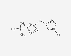 CC(C)(C)c1nnc(Sc2ncc(Cl)s2)s1